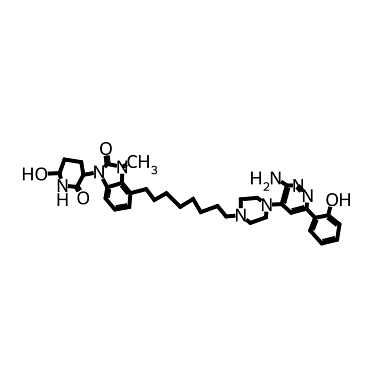 Cn1c(=O)n(C2CCC(O)NC2=O)c2cccc(CCCCCCCCN3CCN(c4cc(-c5ccccc5O)nnc4N)CC3)c21